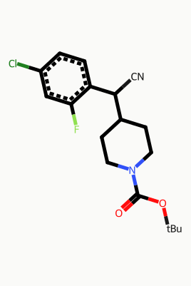 CC(C)(C)OC(=O)N1CCC(C(C#N)c2ccc(Cl)cc2F)CC1